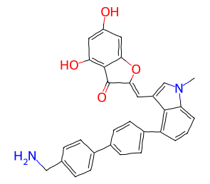 Cn1cc(C=C2Oc3cc(O)cc(O)c3C2=O)c2c(-c3ccc(-c4ccc(CN)cc4)cc3)cccc21